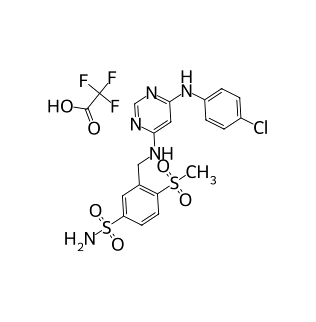 CS(=O)(=O)c1ccc(S(N)(=O)=O)cc1CNc1cc(Nc2ccc(Cl)cc2)ncn1.O=C(O)C(F)(F)F